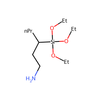 CCCC(CCN)[Si](OCC)(OCC)OCC